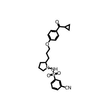 N#Cc1cccc(S(=O)(=O)NN2CCCC2CCCOc2ccc(C(=O)C3CC3)cc2)c1